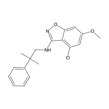 COc1cc(Cl)c2c(NCC(C)(C)c3ccccc3)noc2c1